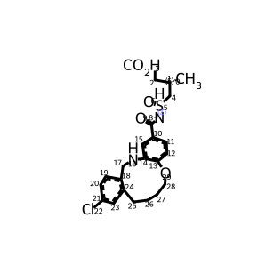 C[C@@H](CC(=O)O)C/[SH](=O)=N/C(=O)c1ccc2c(c1)NCc1ccc(Cl)cc1CCCCO2